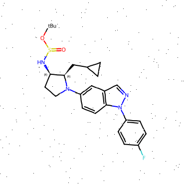 CC(C)(C)OS(=O)N[C@@H]1CCN(c2ccc3c(cnn3-c3ccc(F)cc3)c2)[C@@H]1CC1CC1